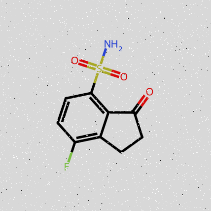 NS(=O)(=O)c1ccc(F)c2c1C(=O)CC2